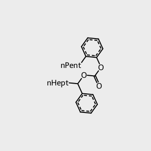 CCCCCCCC(OC(=O)Oc1ccccc1CCCCC)c1ccccc1